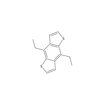 CCc1c2ccsc2c(CC)c2ccsc12